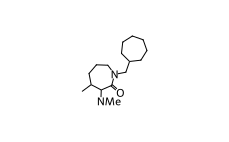 CNC1C(=O)N(CC2CCCCCC2)CCCC1C